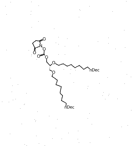 CCCCCCCCCCCCCCCCCCOC[C@H](COC(=O)ON1C(=O)CCC1=O)OCCCCCCCCCCCCCCCCCC